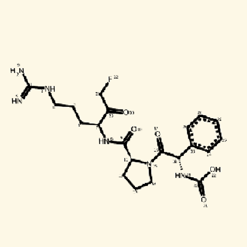 N=C(N)NCCC[C@H](NC(=O)[C@@H]1CCCN1C(=O)[C@@H](NC(=O)O)c1ccccc1)C(=O)CF